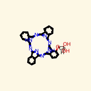 [OH][GeH]([OH])[O]c1cccc2c3nc4nc(nc5[nH]c(nc6nc(nc([nH]3)c12)-c1ccccc1-6)c1ccccc51)-c1ccccc1-4